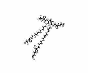 CCC(CCCCCCCCCCCCCCC(=O)OC(C)C)CCC(=O)OC(C)C.CCCCOC(=O)CCCCCCCCCCCCCCC(CC)CCC(=O)OCCCC